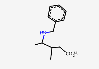 CC(CC(=O)O)C(C)NCc1ccccc1